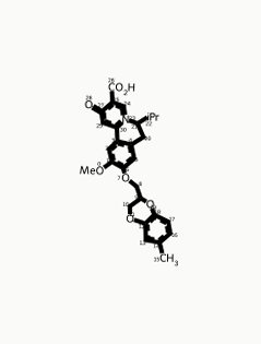 COc1cc2c(cc1OCC1COc3cc(C)ccc3O1)CC(C(C)C)n1cc(C(=O)O)c(=O)cc1-2